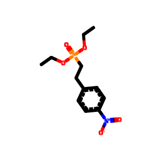 CCOP(=O)(CCc1ccc([N+](=O)[O-])cc1)OCC